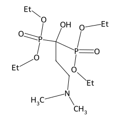 CCOP(=O)(OCC)C(O)(CCN(C)C)P(=O)(OCC)OCC